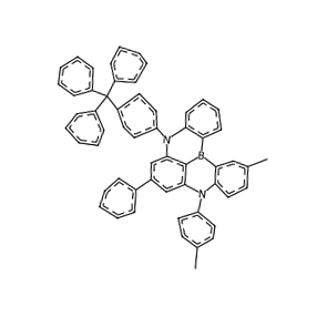 Cc1ccc(N2c3ccc(C)cc3B3c4ccccc4N(c4ccc(C(c5ccccc5)(c5ccccc5)c5ccccc5)cc4)c4cc(-c5ccccc5)cc2c43)cc1